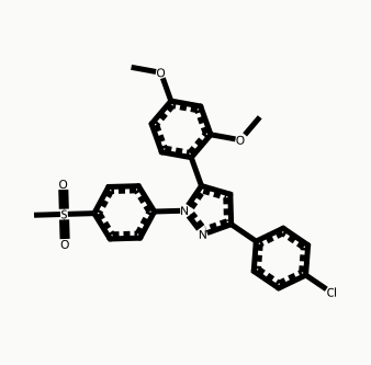 COc1ccc(-c2cc(-c3ccc(Cl)cc3)nn2-c2ccc(S(C)(=O)=O)cc2)c(OC)c1